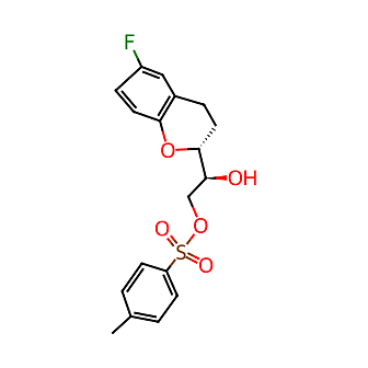 Cc1ccc(S(=O)(=O)OC[C@H](O)[C@H]2CCc3cc(F)ccc3O2)cc1